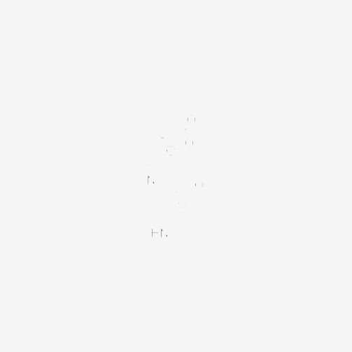 COC(=O)c1ccccc1Oc1ccnc2cc(OC3CCNCC3)c(OC)cc12